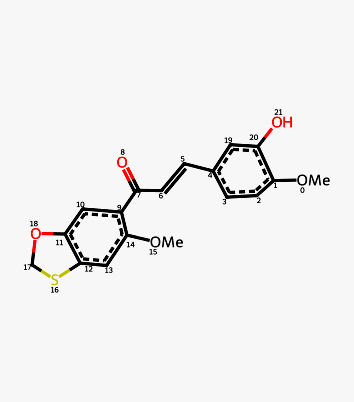 COc1ccc(C=CC(=O)c2cc3c(cc2OC)SCO3)cc1O